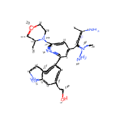 C/C(N)=C(\c1cc(-c2cc(CO)cc3[nH]ccc23)nc(N2CCOCC2C)c1)N(C)N